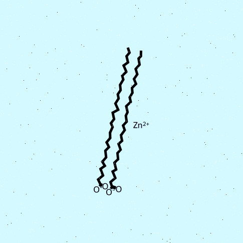 CCCCCCCCCCCCCCCCCCCCCCCCCCCCCC(=O)[O-].CCCCCCCCCCCCCCCCCCCCCCCCCCCCCC(=O)[O-].[Zn+2]